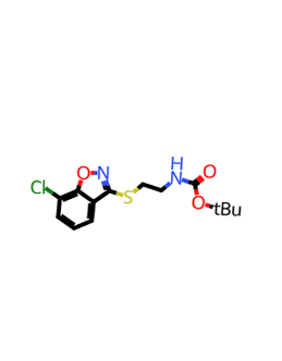 CC(C)(C)OC(=O)NCCSc1noc2c(Cl)cccc12